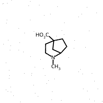 CN1CCC2(C(=O)O)CCC1C2